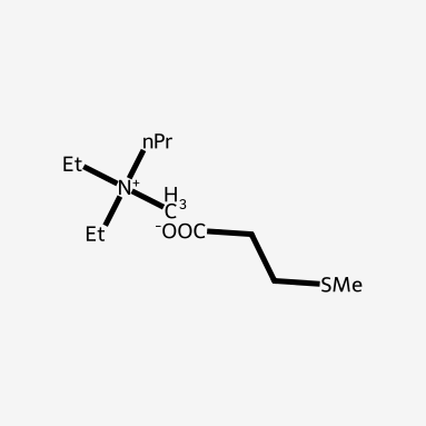 CCC[N+](C)(CC)CC.CSCCC(=O)[O-]